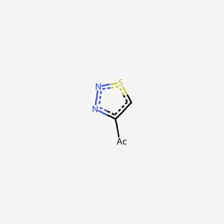 CC(=O)c1csnn1